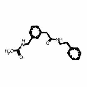 CC(=O)NCc1cccc(CC(=O)NCCc2ccccc2)c1